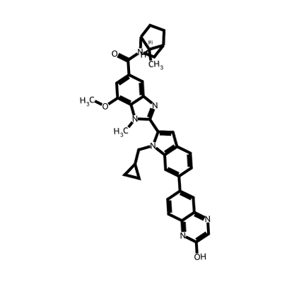 COc1cc(C(=O)N2CC3CCC2[C@@H]3C)cc2nc(-c3cc4ccc(-c5ccc6nc(O)cnc6c5)cc4n3CC3CC3)n(C)c12